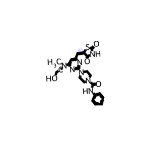 CN(CCO)c1cc(/C=C2/SC(=O)NC2=O)nc(N2CCN(C(=O)Nc3ccccc3)CC2)n1